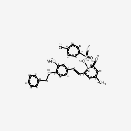 COc1cc(C=Cc2cc(C)cc(=O)n2OS(=O)(=O)c2ccc(Cl)cc2)ccc1OCc1ccccc1